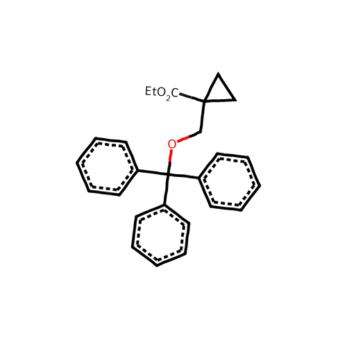 CCOC(=O)C1(COC(c2ccccc2)(c2ccccc2)c2ccccc2)CC1